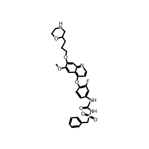 COc1cc2c(Oc3ccc(NC(=O)NS(=O)(=O)Cc4ccccc4)cc3F)ccnc2cc1OCCCC1CNCCO1